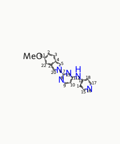 COc1ccc2cn(-c3nccc(Nc4ccncc4)n3)cc2c1